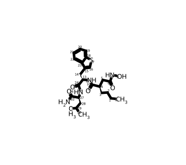 CCCC[C@H](CC(=O)NO)C(=O)N[C@@H](Cc1csc2ccccc12)C(=O)N[C@@H](CC(C)C)C(N)=O